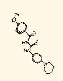 CC(C)Oc1ccc(C(=O)NC(=S)Nc2ccc(N3CCCCC3)cc2)cc1